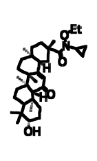 CCON(C(=O)[C@@]1(C)CC[C@]2(C)CC[C@]3(C)C(=CC(=O)[C@@H]4[C@@]5(C)CC[C@H](O)C(C)(C)C5CC[C@]43C)[C@@H]2C1)C1CC1